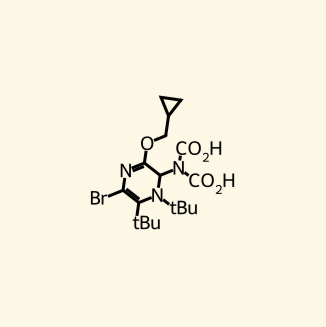 CC(C)(C)C1=C(Br)N=C(OCC2CC2)C(N(C(=O)O)C(=O)O)N1C(C)(C)C